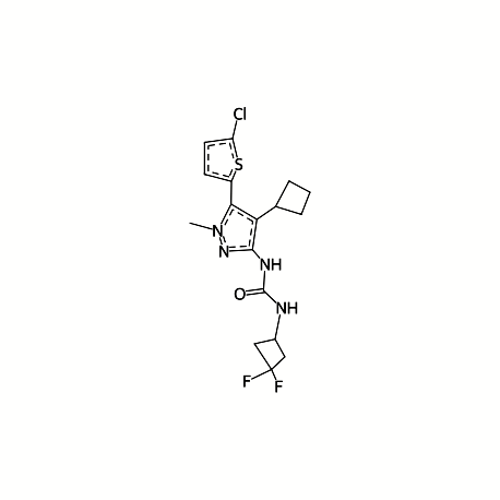 Cn1nc(NC(=O)NC2CC(F)(F)C2)c(C2CCC2)c1-c1ccc(Cl)s1